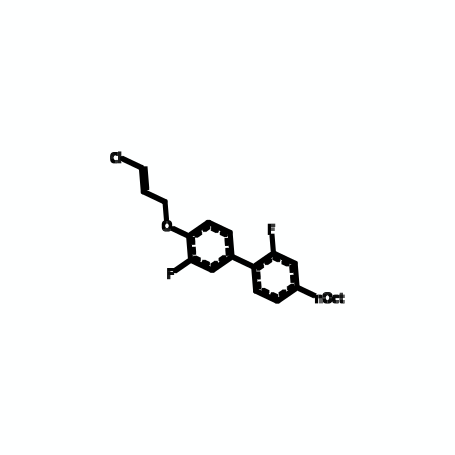 CCCCCCCCc1ccc(-c2ccc(OC/C=C/Cl)c(F)c2)c(F)c1